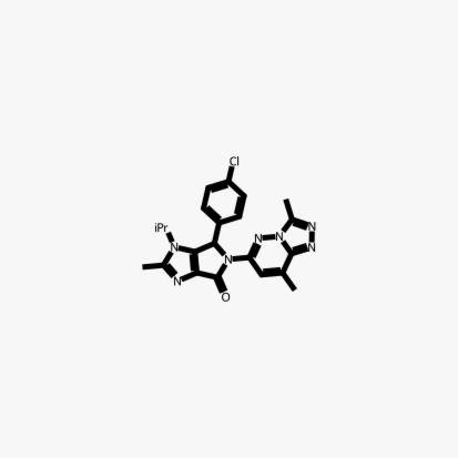 Cc1cc(N2C(=O)c3nc(C)n(C(C)C)c3C2c2ccc(Cl)cc2)nn2c(C)nnc12